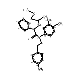 COCC(C)NC(C(=O)N(CCc1ccc(C)cc1)c1ccc(C)c(C)c1)c1ccccc1